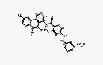 CC(=O)N(c1ccc(Cl)cc1)C1CC(C)N(C(=O)c2ccc(OCc3cccc(C(=O)O)c3)cc2)c2ccccc21